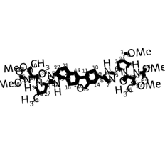 COC[C@H]1C[C@@H](c2ncc(-c3ccc4c(c3)COc3cc5c(ccc6nc([C@@H]7C[C@H](C)CN7C(=O)[C@@H](NC(=O)OC)[C@@H](C)OC)[nH]c65)cc3-4)[nH]2)N(C(=O)[C@@H](NC(=O)OC)[C@@H](C)OC)C1